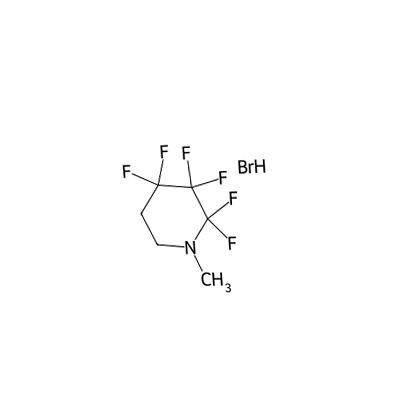 Br.CN1CCC(F)(F)C(F)(F)C1(F)F